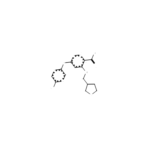 N#Cc1cnc(Nc2cc(NCC3CCNC3)c(C(N)=O)nn2)cn1